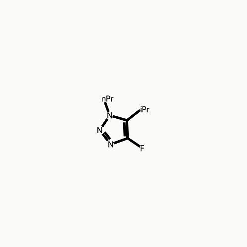 CCCn1nnc(F)c1C(C)C